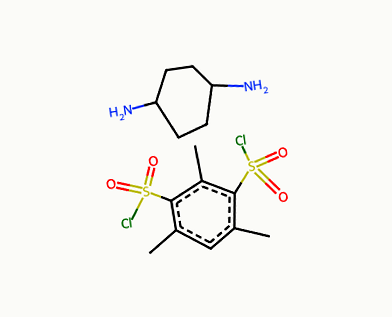 Cc1cc(C)c(S(=O)(=O)Cl)c(C)c1S(=O)(=O)Cl.NC1CCC(N)CC1